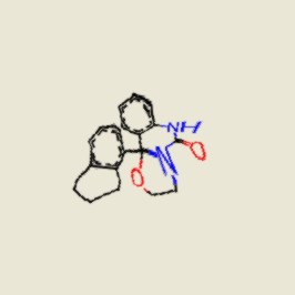 O=C1Nc2ccccc2C2(c3cccc4c3CCC4)OCCN12